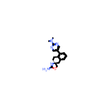 CN(C)c1ncc(-c2cccc3c2CC[C@@]2(COC(N)=N2)C3)cn1